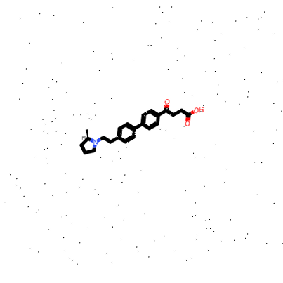 C[C@@H]1CCCN1CCc1ccc(-c2ccc(C(=O)CCC(=O)O)cc2)cc1